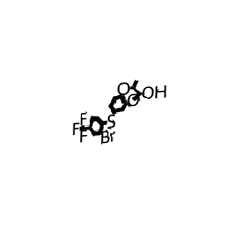 CC(Oc1ccc(Sc2ccc(C(F)(F)F)cc2Br)cc1)C(=O)O